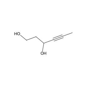 CC#CC(O)CCO